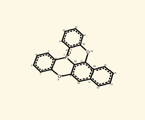 O=P12c3ccccc3Oc3cc4ccccc4c(c31)Oc1ccccc12